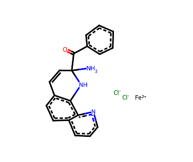 NC1(C(=O)c2ccccc2)C=Cc2ccc3cccnc3c2N1.[Cl-].[Cl-].[Fe+2]